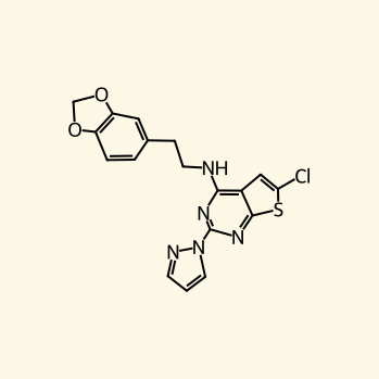 Clc1cc2c(NCCc3ccc4c(c3)OCO4)nc(-n3cccn3)nc2s1